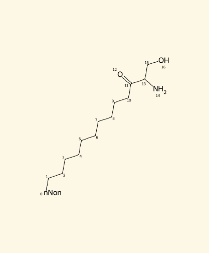 CCCCCCCCCCCCCCCCCCCC(=O)C(N)CO